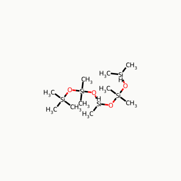 C[SiH](C)O[Si](C)(C)O[SiH](C)O[Si](C)(C)O[Si](C)(C)C